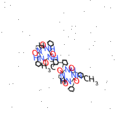 Cc1ccc(C[C@H]2NC(=O)[C@H](Cc3ccccc3)NC(=O)[C@H]3CCCN3C(=O)[C@H](Cc3ccccc3-c3ccc(C[C@H]4NC(=O)[C@H](Cc5ccccc5)NC(=O)[C@H]5CCCN5C(=O)[C@H](Cc5ccccc5)NC4=O)c(C)c3)NC2=O)cc1